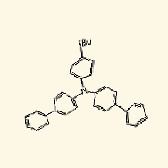 CCC(C)c1ccc(N(c2ccc(-c3ccccc3)cc2)c2ccc(-c3ccccc3)cc2)cc1